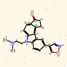 CCN(CC)CCn1c2ccc(-c3cnoc3)cc2c2c3c(ccc21)C(=O)CC3